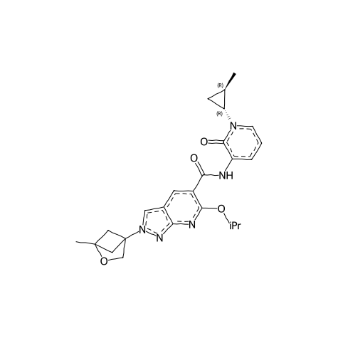 CC(C)Oc1nc2nn(C34COC(C)(C3)C4)cc2cc1C(=O)Nc1cccn([C@@H]2C[C@H]2C)c1=O